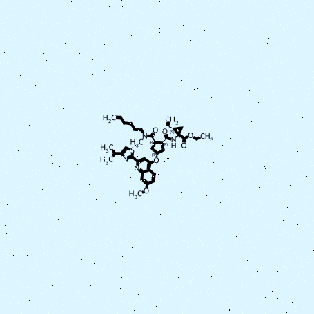 C=CCCCCN(C)C(=O)[C@@H]1C[C@H](Oc2cc(-c3nc(C(C)C)cs3)nc3cc(OC)ccc23)C[C@H]1C(=O)N[C@]1(C(=O)OCC)C[C@H]1C=C